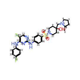 C[C@@H]1CCCN1CC1(O)CCN(S(=O)(=O)c2ccc(Nc3ncc(F)c(Nc4ccc(F)cc4)n3)cc2)CC1